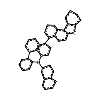 c1ccc(-c2ccccc2N(c2ccc(-c3cccc4c3ccc3oc5ccccc5c34)cc2)c2ccc3ccccc3c2)cc1